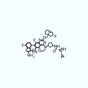 N#Cc1c(N)sc2c(F)ccc(-c3c(Cl)c4c5c(nc(OC[C@@]67CCCN6C[C@H](F)C7)nc5c3F)N(C3CCC(NC(=O)[C@@H]5N[C@H]5C5CC5)C3)CCO4)c12